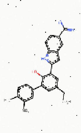 Cc1ccc(-c2cc(CC(=O)O)cc(-c3cc4cc(C(=N)N)ccc4[nH]3)c2O)cc1[N+](=O)[O-]